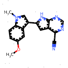 COc1ccc2c(c1)c(-c1cc3c(C#N)ncnc3[nH]1)cn2C